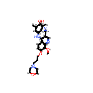 COc1c(OCCCN2CCOCC2)ccc2c(Nc3cc(C)c(O)c(C)c3)c(C#N)cnc12